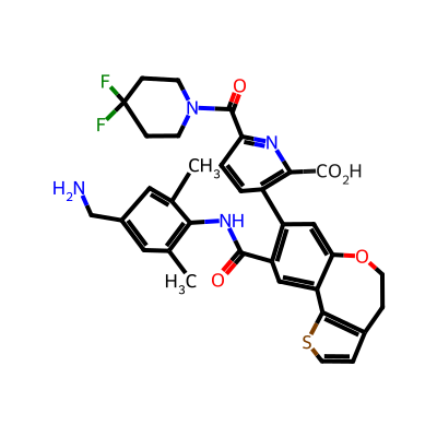 Cc1cc(CN)cc(C)c1NC(=O)c1cc2c(cc1-c1ccc(C(=O)N3CCC(F)(F)CC3)nc1C(=O)O)OCCc1ccsc1-2